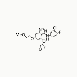 COCCOc1cc(OC2CCOC2)c2c(Nc3ccc(F)c(Cl)c3)ncnc2c1